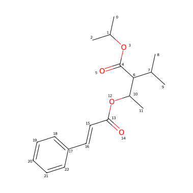 CC(C)OC(=O)C(C(C)C)C(C)OC(=O)C=Cc1ccccc1